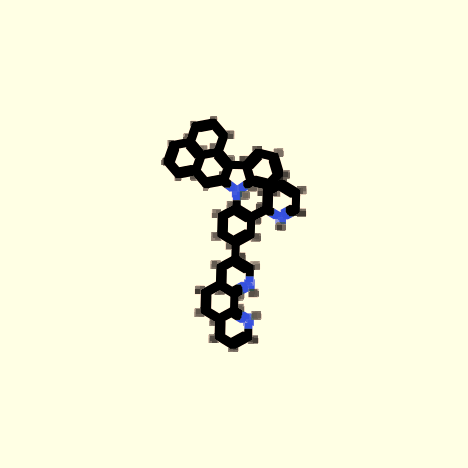 C1=Cc2cccc3cc4c(c(c23)C1)c1ccccc1n4-c1ccc(-c2cnc3c(ccc4cccnc43)c2)cc1-c1ccccn1